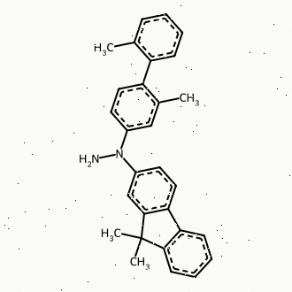 Cc1ccccc1-c1ccc(N(N)c2ccc3c(c2)C(C)(C)c2ccccc2-3)cc1C